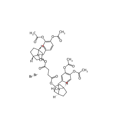 CC(=O)Oc1ccc(C[N+]2(C)[C@@H]3CC[C@H]2CC(OC(=O)CCC(=O)OC2C[C@H]4CC[C@@H](C2)[N+]4(C)Cc2ccc(OC(C)=O)c(OC(C)=O)c2)C3)cc1OC(C)=O.[Br-].[Br-]